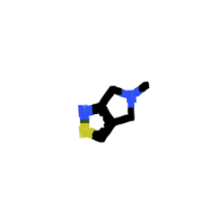 CN1Cc2csnc2C1